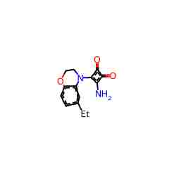 CCc1ccc2c(c1)N(c1c(N)c(=O)c1=O)CCO2